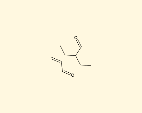 C=CC=O.CCC(C=O)CC